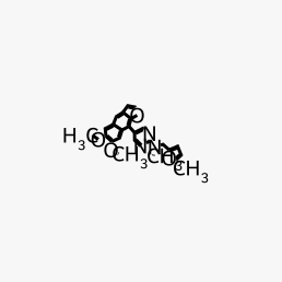 COc1cc2cc3ccoc3c(-c3cnc(N(C)Cc4ccc(C)o4)nc3)c2cc1OC